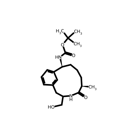 C[C@@H]1CCC[C@H](NC(=O)OC(C)(C)C)c2cccc(c2)CC(CO)NC1=O